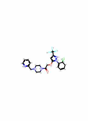 O=C(COc1cc(C(F)(F)F)nn1C1=CC=CCC1Cl)N1CCN(Cc2ccccn2)CC1